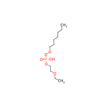 CCCCCCCOOP(=O)(O)OCCOCC